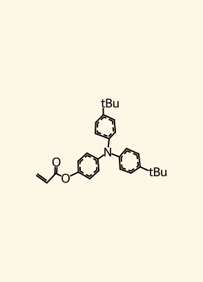 C=CC(=O)Oc1ccc(N(c2ccc(C(C)(C)C)cc2)c2ccc(C(C)(C)C)cc2)cc1